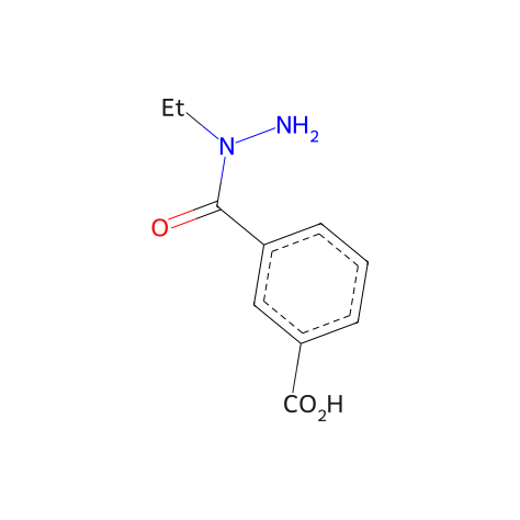 CCN(N)C(=O)c1cccc(C(=O)O)c1